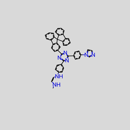 CN/C=C\Nc1ccc(-c2nc(-c3ccc(-n4ccnc4)cc3)nc(-c3ccc4c(c3)C3(c5ccccc5-c5ccccc53)c3ccccc3-4)n2)cc1